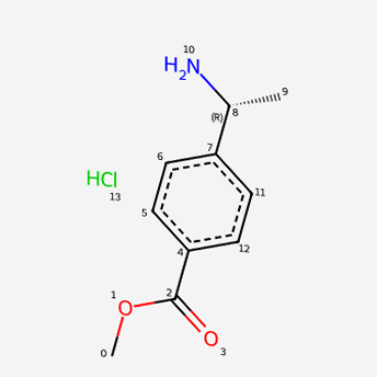 COC(=O)c1ccc([C@@H](C)N)cc1.Cl